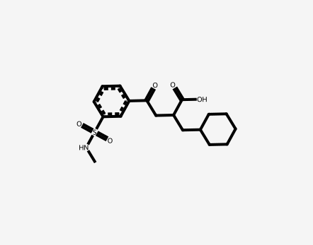 CNS(=O)(=O)c1cccc(C(=O)CC(CC2CCCCC2)C(=O)O)c1